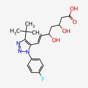 CC(C)(C)c1nnn(-c2ccc(F)cc2)c1C=CC(O)CC(O)CC(=O)O